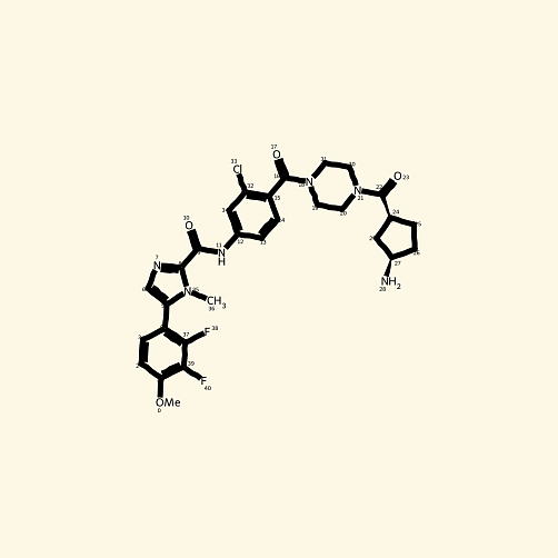 COc1ccc(-c2cnc(C(=O)Nc3ccc(C(=O)N4CCN(C(=O)[C@H]5CC[C@@H](N)C5)CC4)c(Cl)c3)n2C)c(F)c1F